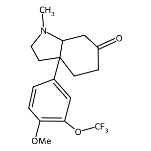 COc1ccc(C23CCC(=O)CC2N(C)CC3)cc1OC(F)(F)F